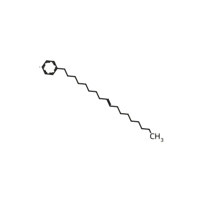 CCCCCCCCC=CCCCCCCCCc1cc[c]cc1